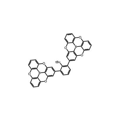 CC(C)(C)c1c(-c2cc3c4c(c2)Oc2cccc5c2B4c2c(cccc2O3)O5)cccc1-c1cc2c3c(c1)Oc1cccc4c1B3c1c(cccc1O2)O4